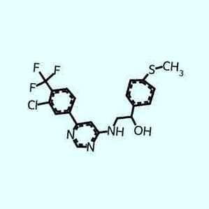 CSc1ccc(C(O)CNc2cc(-c3ccc(C(F)(F)F)c(Cl)c3)ncn2)cc1